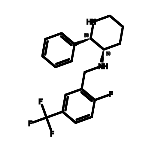 Fc1ccc(C(F)(F)F)cc1CN[C@H]1CCCN[C@H]1c1ccccc1